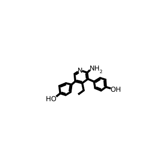 CCc1c(-c2ccc(O)cc2)cnc(N)c1-c1ccc(O)cc1